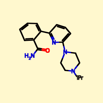 CC(C)N1CCN(c2cccc(-c3ccccc3C(N)=O)n2)CC1